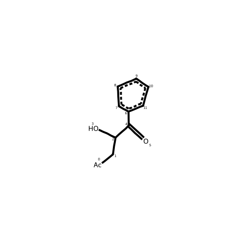 CC(=O)CC(O)C(=O)c1ccccc1